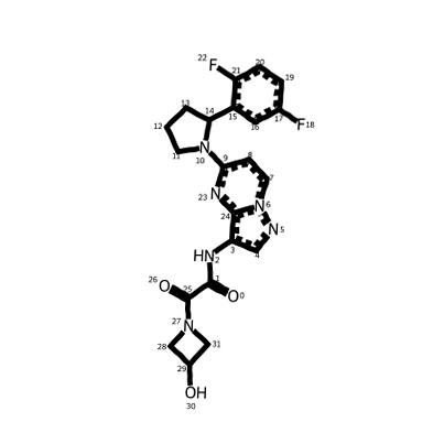 O=C(Nc1cnn2ccc(N3CCCC3c3cc(F)ccc3F)nc12)C(=O)N1CC(O)C1